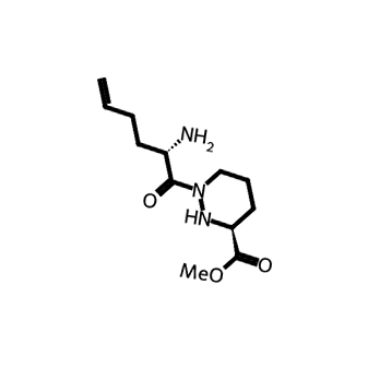 C=CCC[C@H](N)C(=O)N1CCC[C@@H](C(=O)OC)N1